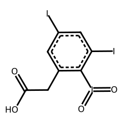 O=C(O)Cc1cc(I)cc(I)c1I(=O)=O